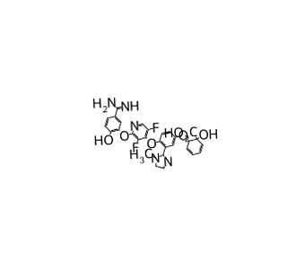 CN1CC=NC1c1cc(OC2C=CC=CC2(O)C(=O)O)ccc1Oc1c(F)cnc(Oc2cc(C(=N)N)ccc2O)c1F